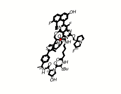 C#Cc1c(F)ccc2cc(O)cc(-c3nc4c5c(nc(OC[C@@]67CCCN6C[C@H](F)C7)nc5c3F)N3CC5CCC(C3CO4)N5C(=O)[C@H](C)NCCCCC(=O)N[C@H](C(=O)N3C[C@H](O)C[C@H]3C(=O)N[C@@H](C)c3ccc(-c4scnc4C)cc3)C(C)(C)C)c12